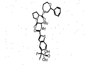 CC(C)(C)C(NC(=O)c1cc2cc(C(F)(F)P(=O)(O)O)ccc2s1)C(=O)N1CCC[C@H]1C(=O)N1CCCOC(c2ccccc2)C1